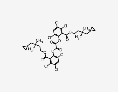 CC(C)(CCOC(=O)c1c(Cl)c(Cl)cc(Cl)c1OC(=O)C(=O)Oc1c(Cl)cc(Cl)c(Cl)c1C(=O)OCCC(C)(C)CC1CC1)CC1CC1